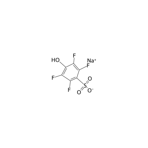 O=S(=O)([O-])c1c(F)c(F)c(O)c(F)c1F.[Na+]